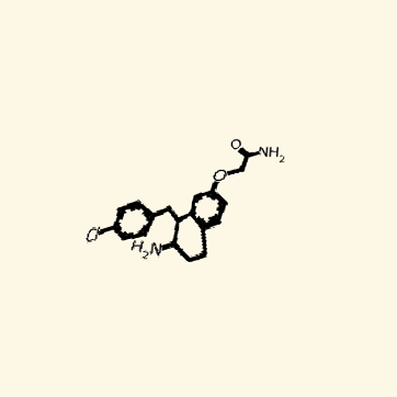 NC(=O)COc1ccc2c(c1)C(Cc1ccc(Cl)cc1)C(N)CC2